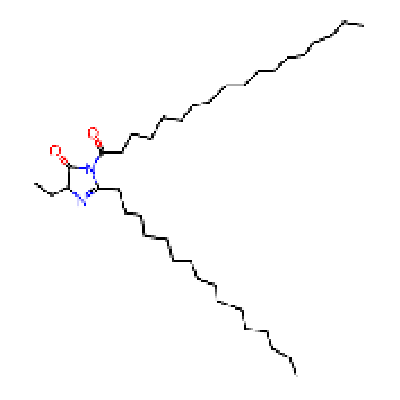 CCCCCCCCCCCCCCCCCC(=O)N1C(=O)C(CC)N=C1CCCCCCCCCCCCCCCC